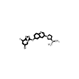 CN(C)C1CCN(c2cnc3ccc(Sc4nnc5c(F)cc(Br)cn45)cc3c2)C1